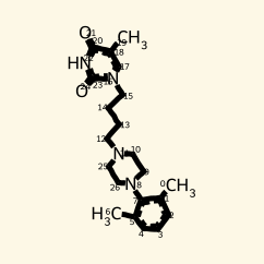 Cc1cccc(C)c1N1CCN(CCCCn2cc(C)c(=O)[nH]c2=O)CC1